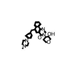 CN1CCN(c2ccc(Cc3cc4c(=O)n([C@H]5CCOC[C@@H]5O)cnc4c4ccccc34)cc2)CC1